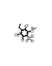 CCc1c(Cl)c(Cl)c(S(=O)(=O)[O-])c(Cl)c1Cl.[Na+]